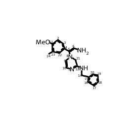 COc1ccc(/C(=C/N)N2C=CN=C(NCc3ccccc3)C2)cc1C